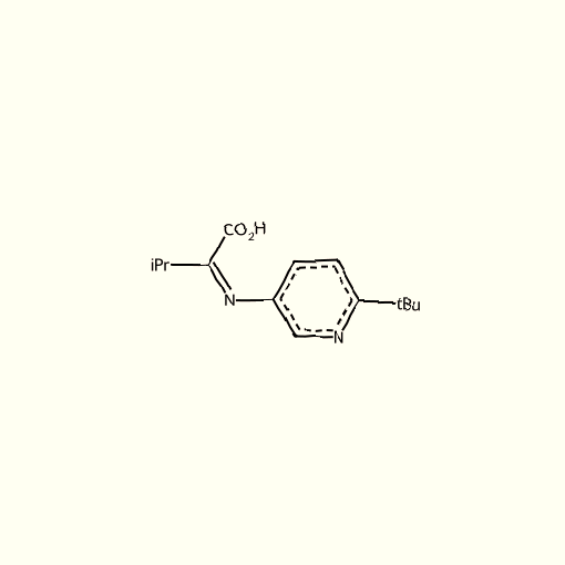 CC(C)C(=Nc1ccc(C(C)(C)C)nc1)C(=O)O